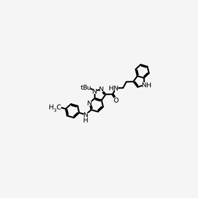 Cc1ccc(Nc2ccc3c(C(=O)NCCc4c[nH]c5ccccc45)nn(C(C)(C)C)c3n2)cc1